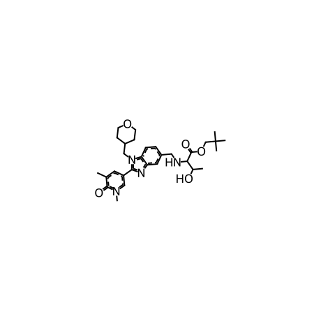 Cc1cc(-c2nc3cc(CNC(C(=O)OCC(C)(C)C)C(C)O)ccc3n2CC2CCOCC2)cn(C)c1=O